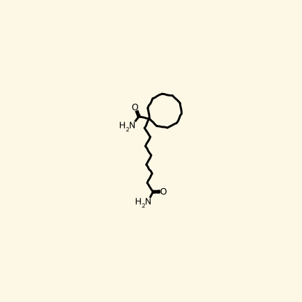 NC(=O)CCCCCCCC1(C(N)=O)CCCCCCCCC1